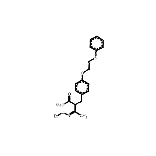 CCO/N=C(/C)C(Cc1ccc(OCCSc2ccccc2)cc1)C(=O)OC